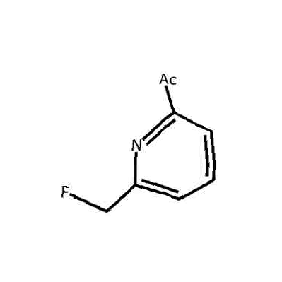 CC(=O)c1cccc(CF)n1